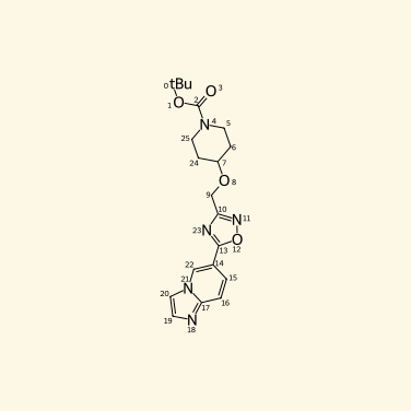 CC(C)(C)OC(=O)N1CCC(OCc2noc(-c3ccc4nccn4c3)n2)CC1